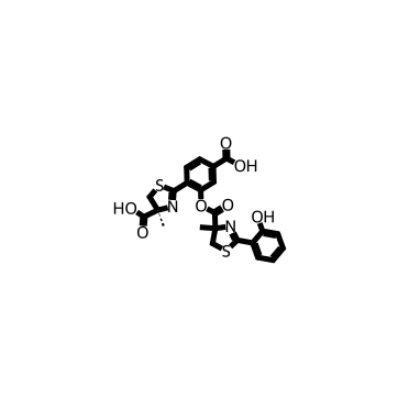 CC1(C(=O)Oc2cc(C(=O)O)ccc2C2=N[C@@](C)(C(=O)O)CS2)CSC(c2ccccc2O)=N1